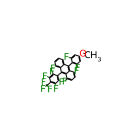 COc1cc(F)c(-c2c3cccc(F)c3c(-c3c(F)c(F)c(C(F)(F)F)c(F)c3F)c3c(F)ccc(F)c23)c(F)c1